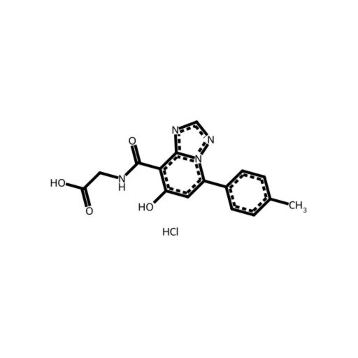 Cc1ccc(-c2cc(O)c(C(=O)NCC(=O)O)c3ncnn23)cc1.Cl